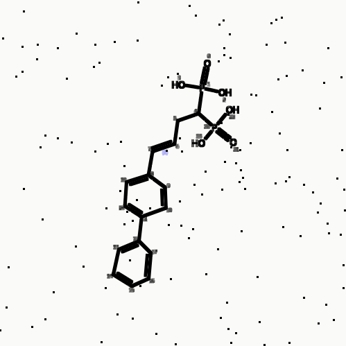 O=P(O)(O)C(C/C=C/c1ccc(-c2ccccc2)cc1)P(=O)(O)O